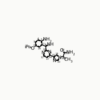 CC(C)Oc1ccc(N)c(C(=N)c2nccc(-c3cn(C(C)C(N)=O)cn3)n2)c1